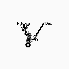 CCCCCCCCCCCCCCCCCCOC(=O)[C@H](C)NP(=O)(OC[C@]1(C)CC[C@H](n2cnc3c(N)nc(F)nc32)O1)Oc1ccccc1